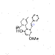 COc1cc(O)c(C2C=C(C)CCC2C(C)C)c(/C=C/c2ccccc2)c1